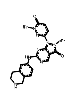 CCCn1c(=O)c2cnc(Nc3ccc4c(c3)CCNC4)nc2n1-c1ccc(=O)n(C(C)C)n1